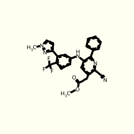 COC(=O)Cc1cc(Nc2ccc(C(F)(F)F)c(-c3ccn(C)n3)c2)c(-c2ccccc2)nc1C#N